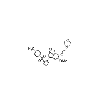 COc1cc2c(-c3cccn3S(=O)(=O)c3ccc(C)cc3)cn(C)c2cc1OCCN1CCOCC1